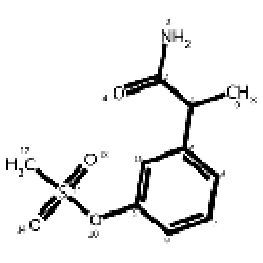 CC(C(N)=O)c1cccc(OS(C)(=O)=O)c1